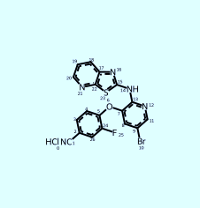 Cl.N#Cc1ccc(Oc2cc(Br)cnc2Nc2nc3cccnc3s2)c(F)c1